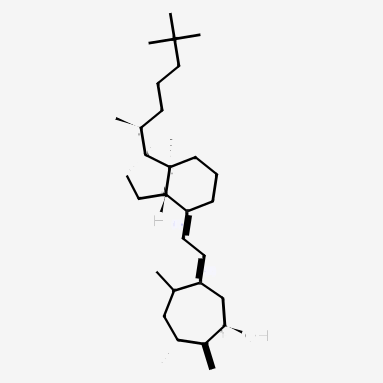 C=C1[C@H](C)CC(C)/C(=C\C=C2/CCC[C@]3(C)[C@@H]([C@@H](C)CCCC(C)(C)C)CC[C@@H]23)C[C@H]1O